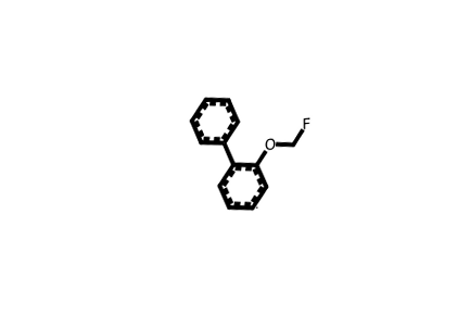 FCOc1c[c]ccc1-c1ccccc1